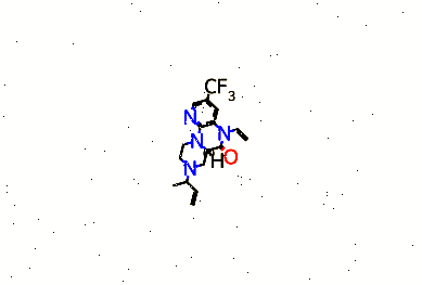 C=CC(C)N1CCN2c3ncc(C(F)(F)F)cc3N(C=C)C(=O)[C@H]2C1